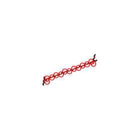 CCCCC(CC)C(=O)OCCOCCOCCOCCOCCOCCOCCOCCOCCOCCOC(=O)C(CC)CCCC